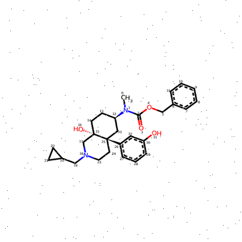 CN(C(=O)OCc1ccccc1)[C@@H]1CC[C@]2(O)CN(CC3CC3)CC[C@@]2(c2cccc(O)c2)C1